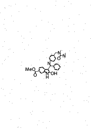 COC(=O)c1ccc2c(C(=Nc3ccc(CN(C)C(=O)N(C)C)cc3)c3ccccc3)c(O)[nH]c2c1